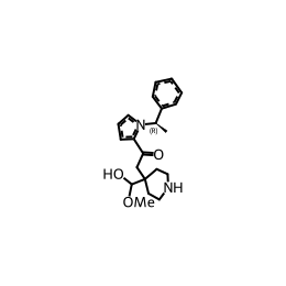 COC(O)C1(CC(=O)c2cccn2[C@H](C)c2ccccc2)CCNCC1